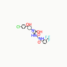 O=C(CNC(=O)c1cccc(C(F)(F)F)c1)N[C@H]1CN(C2CCC(O)(c3ccc(Cl)cc3)CC2)C[C@H]1O